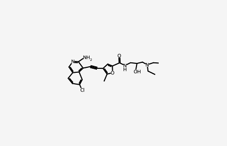 CCN(CC)CC(O)CNC(=O)c1cc(C#Cc2c(N)ncc3ccc(Cl)cc23)c(C)o1